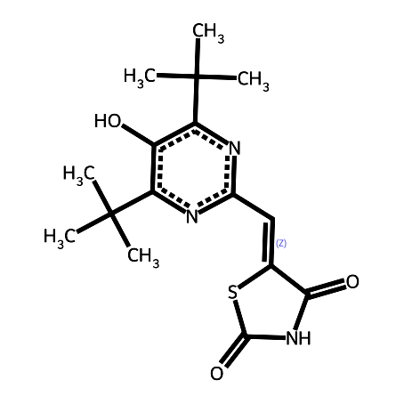 CC(C)(C)c1nc(/C=C2\SC(=O)NC2=O)nc(C(C)(C)C)c1O